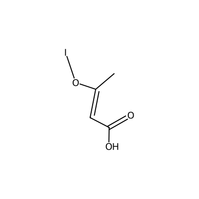 C/C(=C\C(=O)O)OI